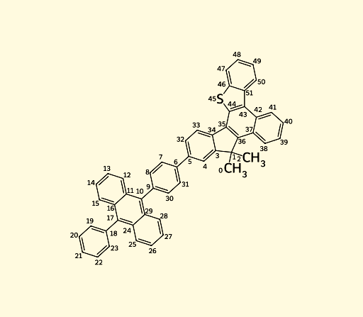 CC1(C)c2cc(-c3ccc(-c4c5ccccc5c(-c5ccccc5)c5ccccc45)cc3)ccc2-c2c1c1ccccc1c1c2sc2ccccc21